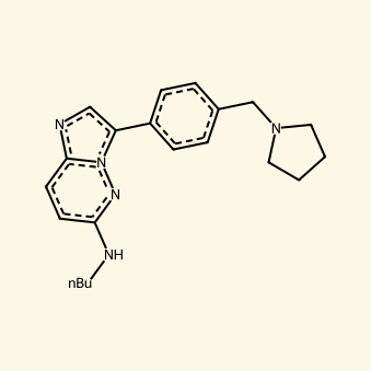 CCCCNc1ccc2ncc(-c3ccc(CN4CCCC4)cc3)n2n1